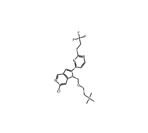 C[Si](C)(C)CCOCn1c(-c2ccnc(CCC(F)(F)F)n2)cc2cnc(Cl)cc21